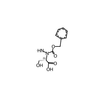 [NH]N(C(=O)OCc1ccccc1)[C@@H](CO)C(=O)O